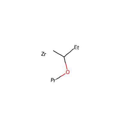 CCC(C)[O][Pr].[Zr]